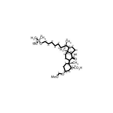 COCO[C@H]1CC[C@](C)(C2CC[C@]3(C)[C@@H]([C@H](C)CCCCCCO[Si](C)(C)C(C)(C)C)CC[C@H]3C2=O)[C@@H](C(=O)O)C1